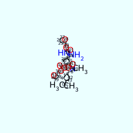 CC(C)c1ccc(CCN(C)S(=O)(=O)c2cc(C(N)NC(=O)OCC3CCCO3)ccc2OC(=O)OCC2CCCO2)cc1